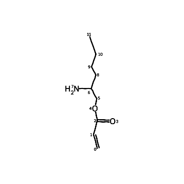 C=CC(=O)OCC(N)CCCC